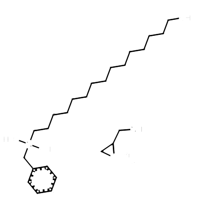 Br.CCCCCCCCCCCCCCCC[N+](C)(C)Cc1ccccc1.NCC1CO1.[Br-]